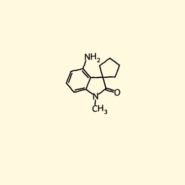 CN1C(=O)C2(CCCC2)c2c(N)cccc21